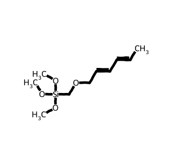 C/C=C/C=C/COC[Si](OC)(OC)OC